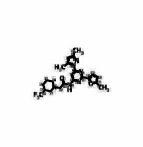 Cc1cc(C)n(-c2cc(NC(=O)CN3CCCC(C(F)(F)F)C3)nc(-c3ccc(C)o3)n2)n1